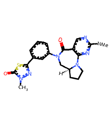 CNc1ncc2c(n1)N1CCC[C@H]1CN(c1cccc(-c3nn(C)c(=O)s3)c1)C2=O